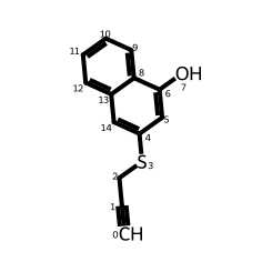 C#CCSc1cc(O)c2ccccc2c1